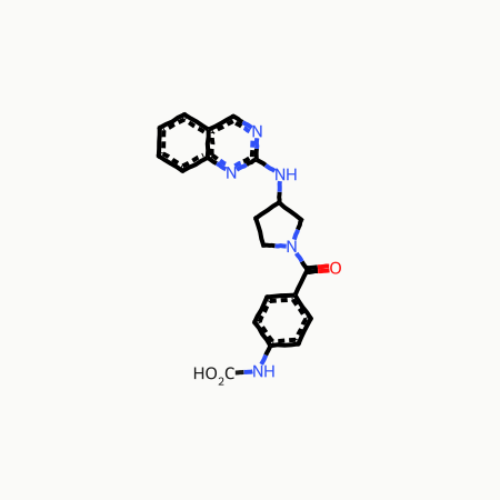 O=C(O)Nc1ccc(C(=O)N2CCC(Nc3ncc4ccccc4n3)C2)cc1